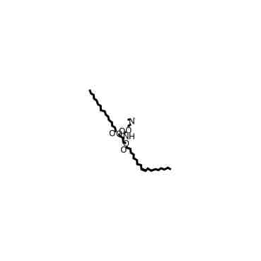 CCCCCCCC/C=C\CCCCCCCC(=O)OCC(COC(=O)CCCCCCCCCCCCCCC)NC(=O)OCCN(C)C